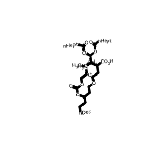 CCCCCCCCCCCCC(CCOC(=O)CC(C(=O)O)C(C)C(OC(=O)CCCCCCC)OC(=O)CCCCCCC)OC(=O)OCCN(C)C